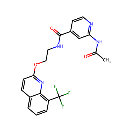 CC(=O)Nc1cc(C(=O)NCCOc2ccc3cccc(C(F)(F)F)c3n2)ccn1